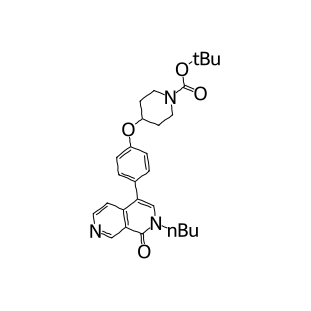 CCCCn1cc(-c2ccc(OC3CCN(C(=O)OC(C)(C)C)CC3)cc2)c2ccncc2c1=O